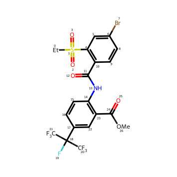 CCS(=O)(=O)c1cc(Br)ccc1C(=O)Nc1ccc(C(F)(C(F)(F)F)C(F)(F)F)cc1C(=O)OC